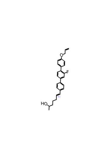 C=CCOc1ccc(-c2ccc(-c3ccc(/C=C/CCCC(C)O)cc3)cc2F)cc1